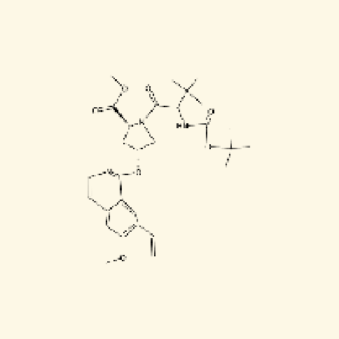 C=Cc1cc2c(O[C@@H]3C[C@@H](C(=O)OC)N(C(=O)C(NC(=O)OC(C)(C)C)C(C)(C)C)C3)nccc2cc1OC